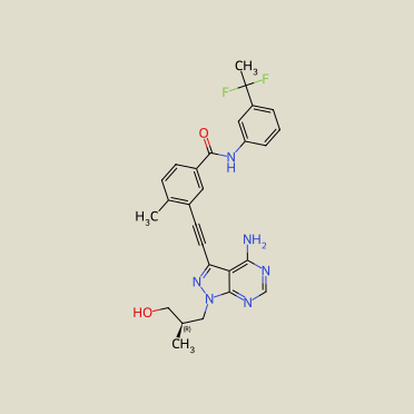 Cc1ccc(C(=O)Nc2cccc(C(C)(F)F)c2)cc1C#Cc1nn(C[C@@H](C)CO)c2ncnc(N)c12